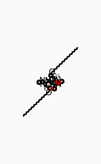 [C-]#[N+]/C(c1cnc2ccccc2n1)=c1\c2c(-c3ccc(OCCCCCCCCCCCCCCCCCCCC)cc3)n(C)/c(=C(/C#N)c3cnc4ccccc4n3)c2c(-c2ccc(OCCCCCCCCCCCCCCCCCCCC)cc2)n1B(c1ccccc1)c1ccccc1